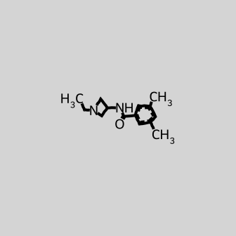 CCN1CC(NC(=O)c2cc(C)cc(C)c2)C1